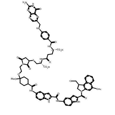 COC1(OCCN2C(=O)CC(SC[C@H](NC(=O)CC[C@H](NC(=O)c3ccc(NCc4cnc5nc(N)[nH]c(=O)c5n4)cc3)C(=O)O)C(=O)O)C2=O)CCC(C(=O)Nc2ccc3[nH]c(C(=O)Nc4ccc5[nH]c(C(=O)N6CC(CCl)c7c6cc(OC(C)=O)c6ccccc76)cc5c4)cc3c2)CC1